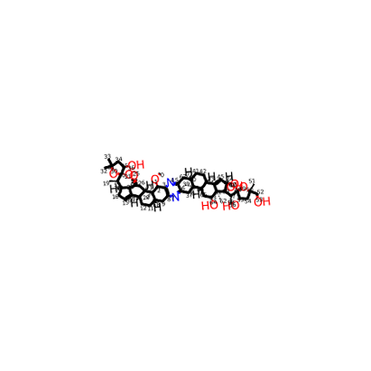 CO[C@H]1c2nc3c(nc2C[C@@H]2CC[C@H]4C5=CC[C@@H]6[C@@H](C)[C@@]7(OC[C@]56C(=O)C[C@@H]4[C@]21C)OC(C)(C)C[C@H]7O)C[C@@]1(C)[C@@H](CC[C@H]2C4=C[C@@H]5O[C@]6(O[C@](C)(CO)C[C@H]6O)[C@@H](C)[C@]5(O)[C@@]4(C)[C@H](O)C[C@@H]21)C3